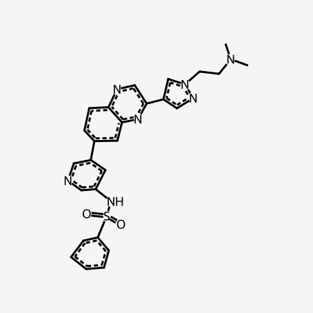 CN(C)CCn1cc(-c2cnc3ccc(-c4cncc(NS(=O)(=O)c5ccccc5)c4)cc3n2)cn1